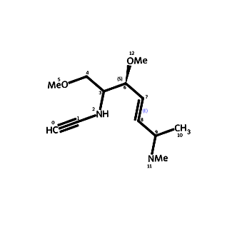 C#CNC(COC)[C@H](/C=C/C(C)NC)OC